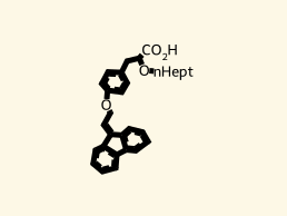 CCCCCCCOC(Cc1ccc(OCC=C2c3ccccc3-c3ccccc32)cc1)C(=O)O